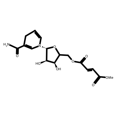 COC(=O)/C=C/C(=O)OCC1O[C@@H](N2C=CCC(C(N)=O)=C2)[C@H](O)[C@@H]1O